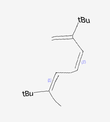 C=C(/C=C\C=C(/C)C(C)(C)C)C(C)(C)C